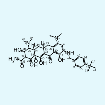 CN(C)c1cc(NCc2ccc(C(C)(C)C)cc2)c(O)c2c1C[C@H]1C[C@H]3[C@H](N(C)C)C(O)C(C(N)=O)C(=O)[C@@]3(O)C(O)=C1C2=O